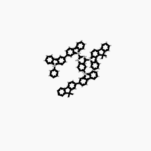 CC1(C)c2ccccc2-c2ccc(-c3ccc4c5ccccc5n(-c5ccc6nc(-n7c8ccccc8c8ccc(-c9ccc%10c(c9)c9ccccc9n%10-c9ccccc9)cc87)nc(-n7c8ccccc8c8c9c(ccc87)-c7ccccc7C9(C)C)c6c5)c4c3)cc21